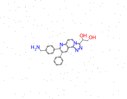 NCc1ccc(-c2nc3ccn4c(C(O)CO)nnc4c3cc2-c2ccccc2)cc1